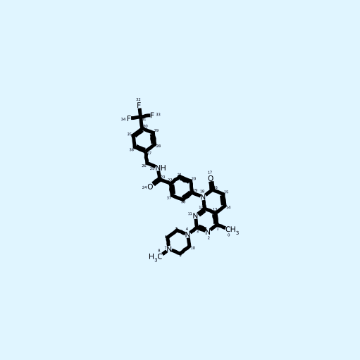 Cc1nc(N2CCN(C)CC2)nc2c1ccc(=O)n2-c1ccc(C(=O)NCc2ccc(C(F)(F)F)cc2)cc1